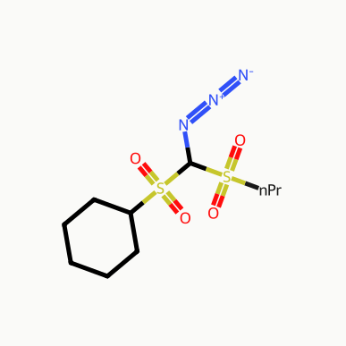 CCCS(=O)(=O)C(N=[N+]=[N-])S(=O)(=O)C1CCCCC1